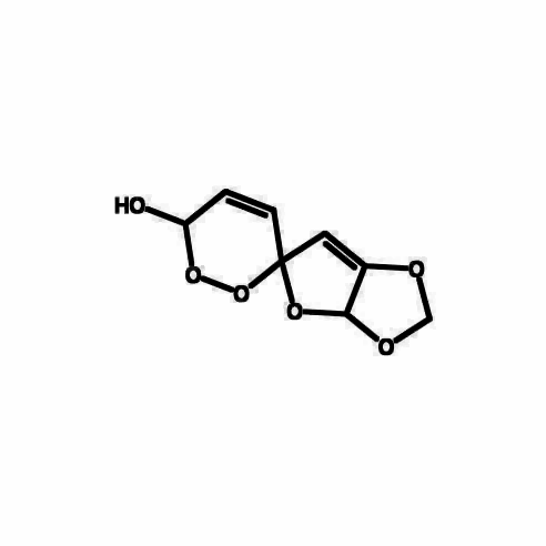 OC1C=CC2(C=C3OCOC3O2)OO1